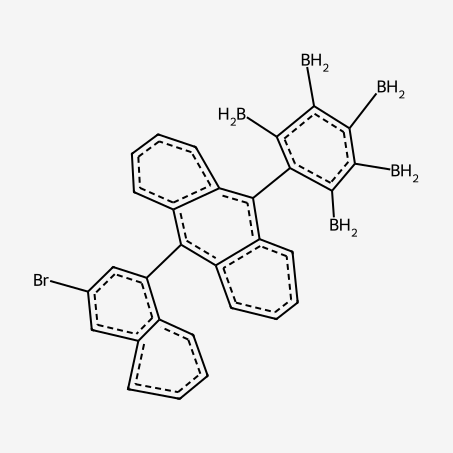 Bc1c(B)c(B)c(-c2c3ccccc3c(-c3cc(Br)cc4ccccc34)c3ccccc23)c(B)c1B